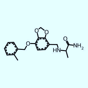 Cc1ccccc1COc1ccc(CNC(C)C(N)=O)c2c1OCO2